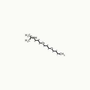 CCCCOCCCOCCCNC(C)C